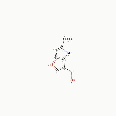 CCOC(=O)c1cc2occ(CO)c2[nH]1